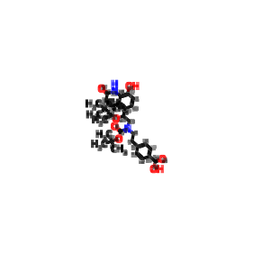 CC(C)(C)OC(=O)N(CCc1ccc(C(=O)O)cc1)CC(O[Si](C)(C)C(C)(C)C)c1ccc(O)c2[nH]c(=O)ccc12